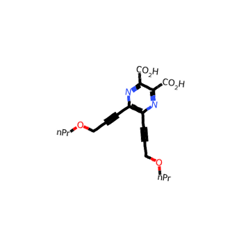 CCCOCC#Cc1nc(C(=O)O)c(C(=O)O)nc1C#CCOCCC